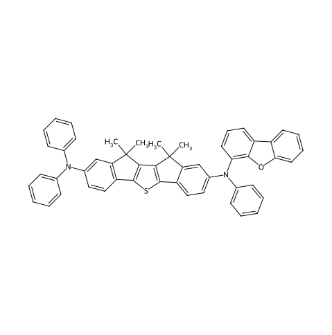 CC1(C)c2cc(N(c3ccccc3)c3ccccc3)ccc2-c2sc3c(c21)C(C)(C)c1cc(N(c2ccccc2)c2cccc4c2oc2ccccc24)ccc1-3